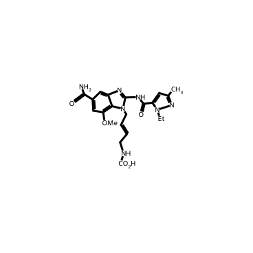 CCn1nc(C)cc1C(=O)Nc1nc2cc(C(N)=O)cc(OC)c2n1CC=CCNC(=O)O